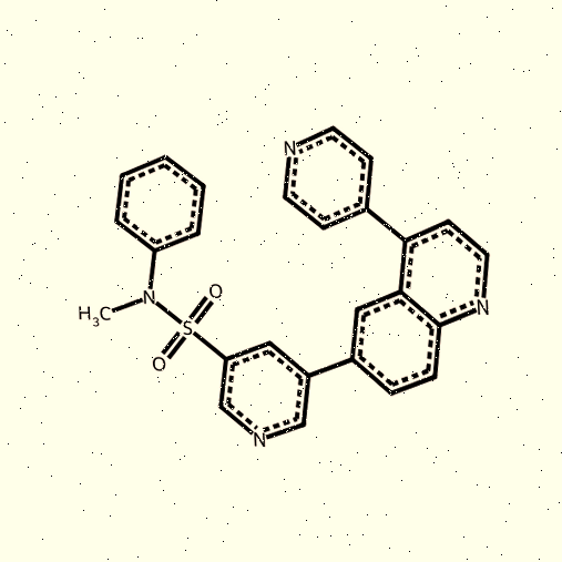 CN(c1ccccc1)S(=O)(=O)c1cncc(-c2ccc3nccc(-c4ccncc4)c3c2)c1